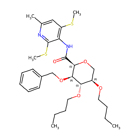 CCCCO[C@@H]1[C@@H](OCc2ccccc2)[C@@H](C(=O)Nc2c(SC)cc(C)nc2SC)OC[C@H]1OCCCC